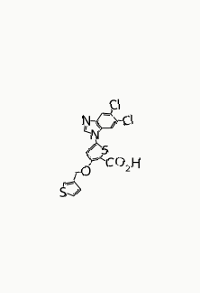 O=C(O)c1sc(-n2cnc3cc(Cl)c(Cl)cc32)cc1OCc1ccsc1